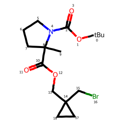 CC(C)(C)OC(=O)N1CCCC1(C)C(=O)OCC1(CBr)CC1